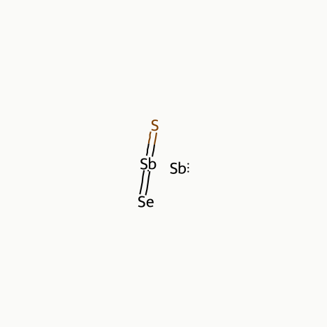 [S]=[Sb]=[Se].[Sb]